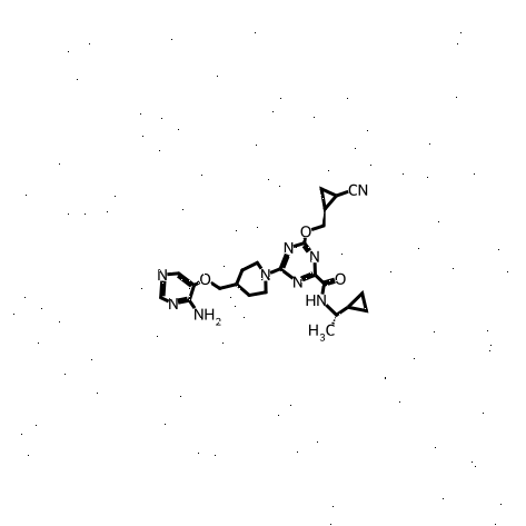 C[C@H](NC(=O)c1nc(OC[C@H]2CC2C#N)nc(N2CCC(COc3cncnc3N)CC2)n1)C1CC1